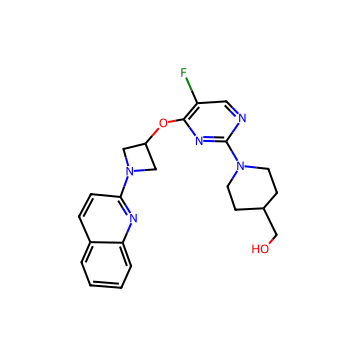 OCC1CCN(c2ncc(F)c(OC3CN(c4ccc5ccccc5n4)C3)n2)CC1